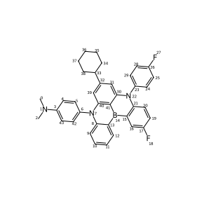 CN(C)c1ccc(N2c3ccccc3B3c4cc(F)ccc4N(c4ccc(F)cc4)c4cc(C5CCCCC5)cc2c43)cc1